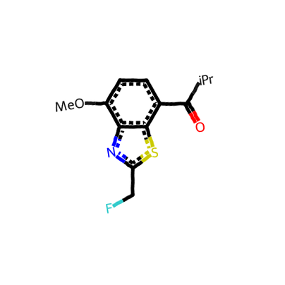 COc1ccc(C(=O)C(C)C)c2sc(CF)nc12